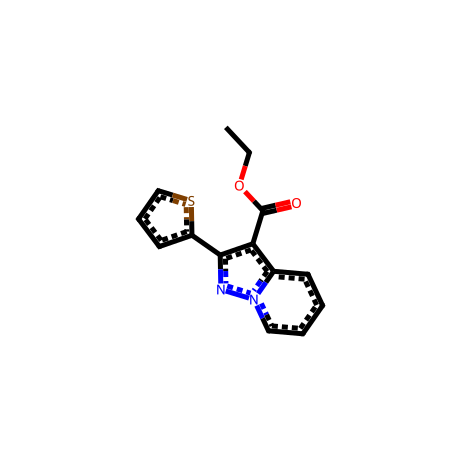 CCOC(=O)c1c(-c2cccs2)nn2ccccc12